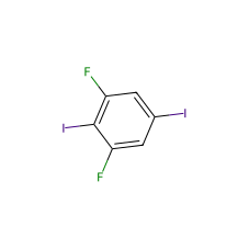 Fc1cc(I)cc(F)c1I